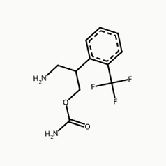 NCC(COC(N)=O)c1ccccc1C(F)(F)F